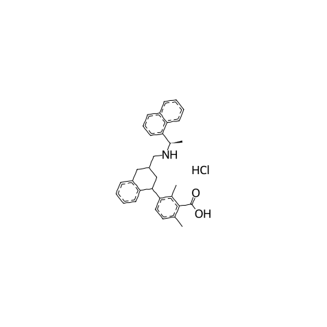 Cc1ccc(C2CC(CN[C@H](C)c3cccc4ccccc34)Cc3ccccc32)c(C)c1C(=O)O.Cl